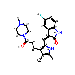 CC(=O)c1c(C)[nH]c(C=C2C(=O)Nc3ccc(F)cc32)c1CCC(=O)N1CCN(C)CC1